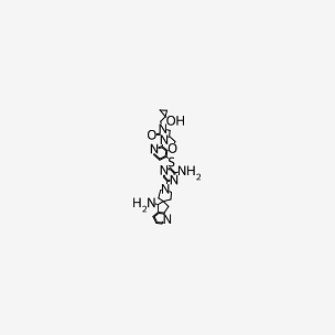 Nc1nc(N2CCC3(CC2)Cc2ncccc2[C@H]3N)cnc1Sc1ccnc2c1OCC1CN(CC3(O)CC3)C(=O)N21